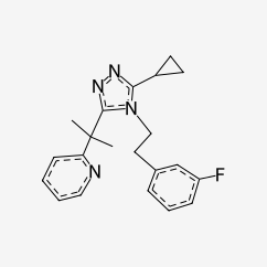 CC(C)(c1ccccn1)c1nnc(C2CC2)n1CCc1cccc(F)c1